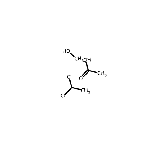 CC(=O)O.CC(Cl)Cl.CO